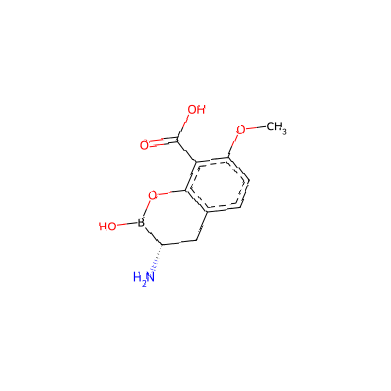 COc1ccc2c(c1C(=O)O)OB(O)[C@@H](N)C2